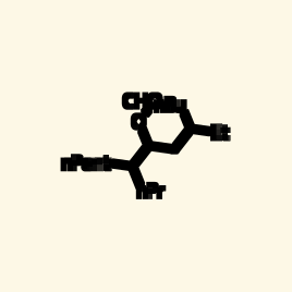 CCCCCC(CCC)C(CC(CC)CCCC)OC=O